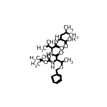 CC(C)CC(NC(=O)C(NC(=O)C(NC(=O)OC(C)(C)C)C(C)OCc1ccccc1)C(C)C)C(=O)O